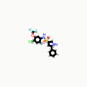 O=S(=O)(Nc1cc(OC(F)F)c(Cl)cc1F)c1c[nH]c(-c2ccccc2)c1